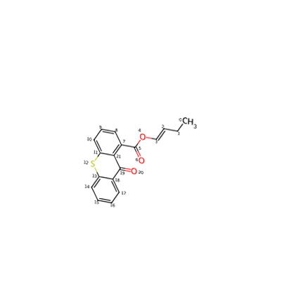 CCC=COC(=O)c1cccc2sc3ccccc3c(=O)c12